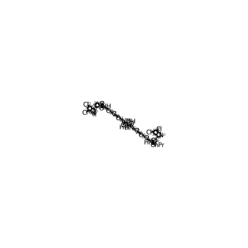 CCCC(CC[C@@H]1CN(C)Cc2c(Cl)cc(Cl)cc21)S(=O)(=O)NCCOCCOCCOCCNC(=O)[C@H](O)[C@@H](O)C(=O)NCCOCCOCCOCCNS(=O)(=O)c1cccc([C@@H]2CN(C)Cc3c(Cl)cc(Cl)cc32)c1